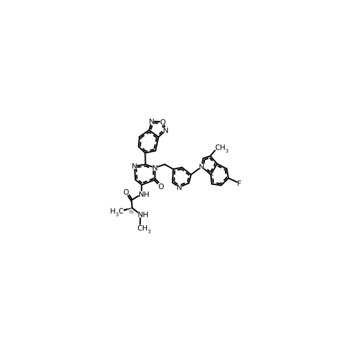 CN[C@@H](C)C(=O)Nc1cnc(-c2ccc3nonc3c2)n(Cc2cncc(-n3cc(C)c4cc(F)ccc43)c2)c1=O